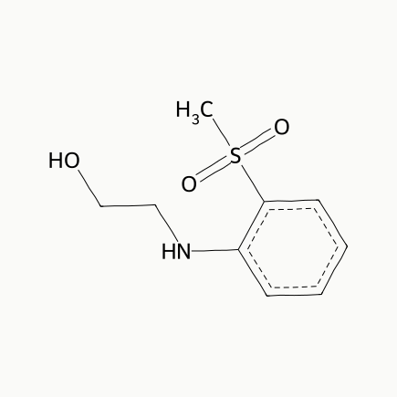 CS(=O)(=O)c1ccccc1NCCO